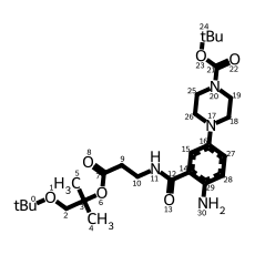 CC(C)(C)OCC(C)(C)OC(=O)CCNC(=O)c1cc(N2CCN(C(=O)OC(C)(C)C)CC2)ccc1N